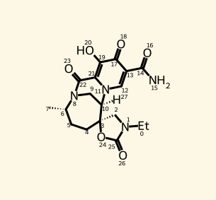 CCN1C[C@@]2(CC[C@H](C)N3C[C@H]2n2cc(C(N)=O)c(=O)c(O)c2C3=O)OC1=O